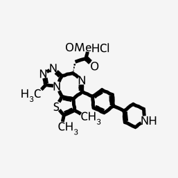 COC(=O)C[C@@H]1N=C(c2ccc(C3=CCNCC3)cc2)c2c(sc(C)c2C)-n2c(C)nnc21.Cl